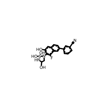 N#Cc1cccc(-c2ccc3cc(O)c(N4CC(O)NS4(O)O)c(F)c3c2)c1